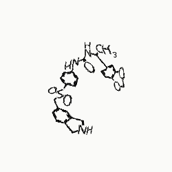 CC(NC(=O)Nc1ccc(S(=O)(=O)Cc2ccc3c(c2)CNC3)cc1)c1ccc2c(c1)OCO2